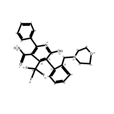 NC(=O)c1c(-c2ccccc2)nc(O)c(-c2ccccc2CN2CCOCC2)c1C(F)(F)F